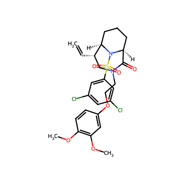 C=C[C@H]1CN(CCOc2ccc(OC)c(OC)c2)C(=O)[C@@H]2CCC[C@H]1N2S(=O)(=O)c1cc(Cl)cc(Cl)c1